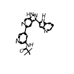 CC(C)(C)C(=O)Nc1cncc(-c2cc3c(-c4cc5ncccc5[nH]4)n[nH]c3cn2)c1